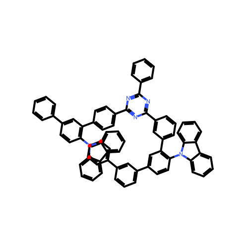 c1ccc(-c2cccc(-c3ccc(-n4c5ccccc5c5ccccc54)c(-c4cccc(-c5nc(-c6ccccc6)nc(-c6ccc(-c7cc(-c8ccccc8)ccc7-n7c8ccccc8c8ccccc87)cc6)n5)c4)c3)c2)cc1